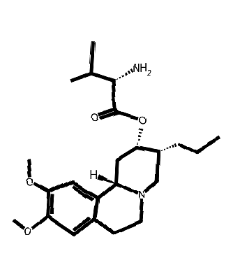 CCC[C@@H]1CN2CCc3cc(OC)c(OC)cc3[C@@H]2C[C@@H]1OC(=O)[C@@H](N)C(C)C